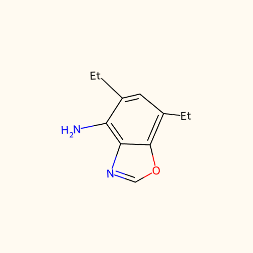 CCc1cc(CC)c2ocnc2c1N